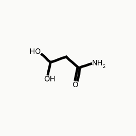 NC(=O)[CH]C(O)O